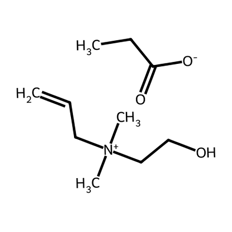 C=CC[N+](C)(C)CCO.CCC(=O)[O-]